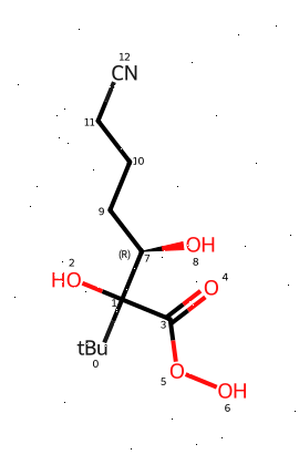 CC(C)(C)C(O)(C(=O)OO)[C@H](O)CCCC#N